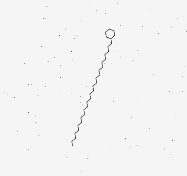 CCCCCCCCCCCCCCCCCCCCCCCCCCCC1CCCCC1